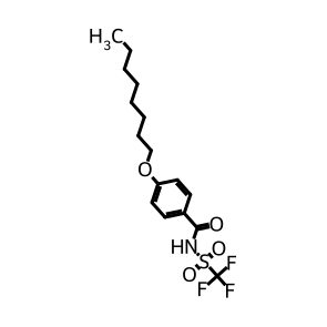 CCCCCCCCOc1ccc(C(=O)NS(=O)(=O)C(F)(F)F)cc1